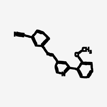 COc1ccccc1-c1cc(/C=C/c2cccc(C#N)c2)ccn1